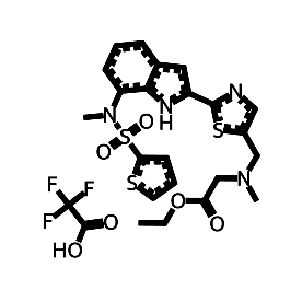 CCOC(=O)CN(C)Cc1cnc(-c2cc3cccc(N(C)S(=O)(=O)c4cccs4)c3[nH]2)s1.O=C(O)C(F)(F)F